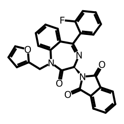 O=C1[C@H](N2C(=O)c3ccccc3C2=O)N=C(c2ccccc2F)c2ccccc2N1Cc1ccco1